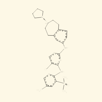 Cc1cnc(Nc2nc(Nc3ccc4c(c3)CC[C@@H](N3CCCC3)CC4)ncc2Cl)c(P(C)(C)=O)c1